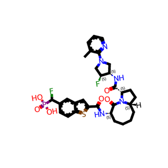 Cc1cccnc1N1C[C@H](NC(=O)[C@@H]2CC[C@@H]3CCCC[C@H](NC(=O)c4cc5cc(C(F)P(=O)(O)O)ccc5s4)C(=O)N32)[C@@H](F)C1